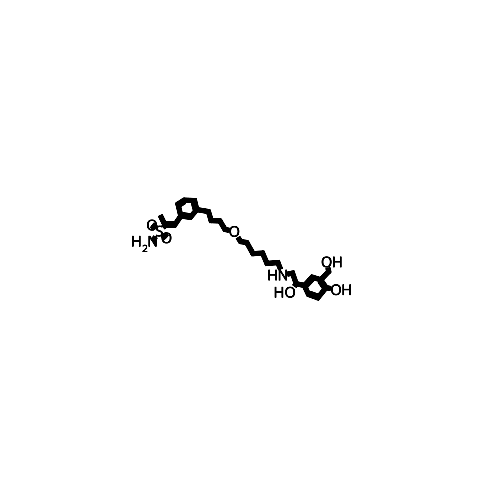 C/C(=C\c1cccc(CCCCOCCCCCCNCC(O)c2ccc(O)c(CO)c2)c1)S(N)(=O)=O